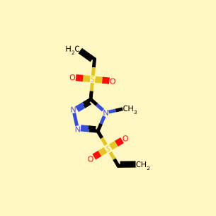 C=CS(=O)(=O)c1nnc(S(=O)(=O)C=C)n1C